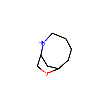 C1CCC2CC(CO2)NC1